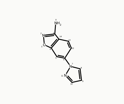 Nc1noc2cc(-n3cccn3)ccc12